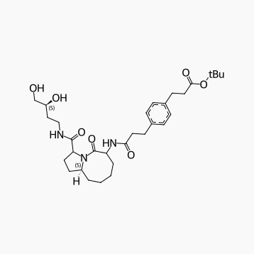 CC(C)(C)OC(=O)CCc1ccc(CCC(=O)NC2CCCC[C@H]3CCC(C(=O)NCC[C@H](O)CO)N3C2=O)cc1